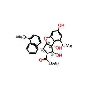 COC(=O)C1[C@H](O)[C@]2(O)c3c(OC)cc(O)cc3O[C@]2(c2ccc(OC)cc2)[C@H]1c1ccccc1